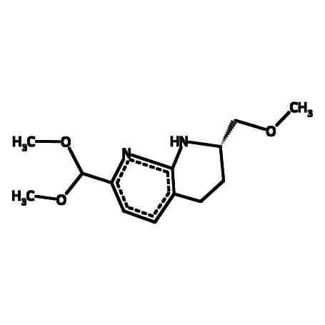 COC[C@@H]1CCc2ccc(C(OC)OC)nc2N1